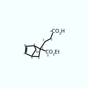 CCOC(=O)C1(CCC(=O)O)CC2C=CC1C2